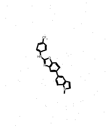 Cn1ccc2cc(-c3ccc4oc(Nc5ccc(C(F)(F)F)cc5)nc4c3)ccc21